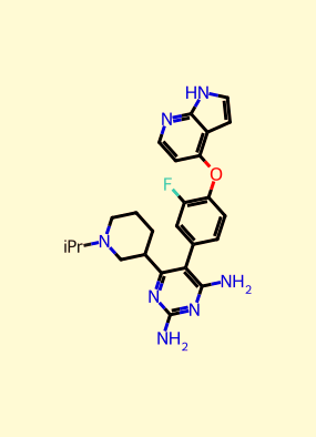 CC(C)N1CCCC(c2nc(N)nc(N)c2-c2ccc(Oc3ccnc4[nH]ccc34)c(F)c2)C1